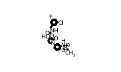 CCS(=O)(=O)Nc1cccc(N2CC[C@](O)(OC(=O)NCc3cc(F)cc(Cl)c3)C2=O)c1